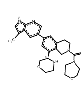 Cc1c[nH]c2ncc(-c3cc4c(c([C@@H]5COCCN5)c3)CN(C(=O)N3CCOCC3)CC4)cc12